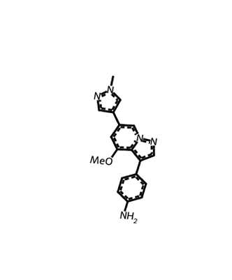 COc1cc(-c2cnn(C)c2)cn2ncc(-c3ccc(N)cc3)c12